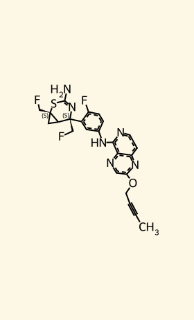 CC#CCOc1cnc2c(Nc3ccc(F)c([C@@]4(CF)N=C(N)S[C@@]5(CF)CC54)c3)nccc2n1